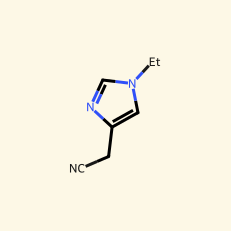 CCn1cnc(CC#N)c1